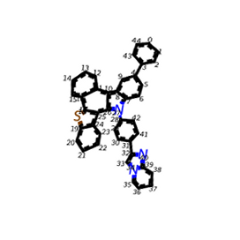 c1ccc(-c2ccc3c(c2)c2c4ccccc4c4sc5ccccc5c4c2n3-c2ccc(-c3cn4ccccc4n3)cc2)cc1